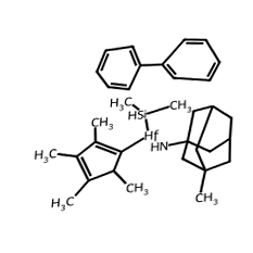 CC1=C(C)C(C)[C]([Hf]([NH]C23CC4CC(CC(C)(C4)C2)C3)[SiH](C)C)=C1C.c1ccc(-c2ccccc2)cc1